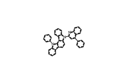 c1ccc(-c2cc(-n3c4ccccc4c4c3ccc3c5ccccc5n(-c5ccccc5)c34)nc3ccccc23)cc1